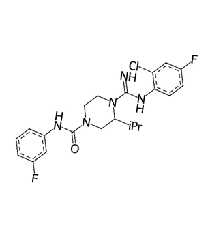 CC(C)C1CN(C(=O)Nc2cccc(F)c2)CCN1C(=N)Nc1ccc(F)cc1Cl